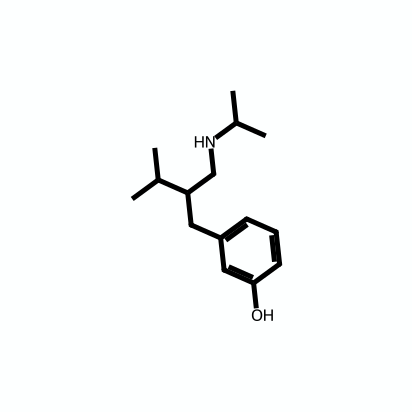 CC(C)NCC(Cc1cccc(O)c1)C(C)C